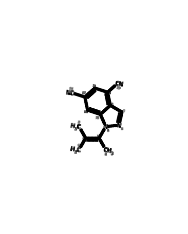 CC(C)=C(C)n1ncc2c(C#N)cc(C#N)cc21